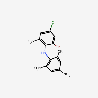 O=[N+]([O-])c1cc([N+](=O)[O-])c(Nc2c(Br)cc(Cl)cc2C(F)(F)F)c(C(F)(F)F)c1